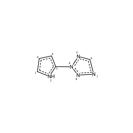 c1c[nH]c(-n2ncnn2)c1